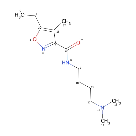 CCc1onc(C(=O)NCCCCN(C)C)c1C